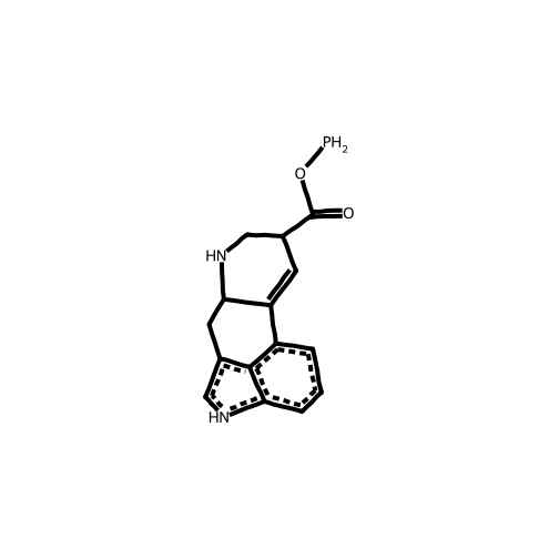 O=C(OP)C1C=C2c3cccc4[nH]cc(c34)CC2NC1